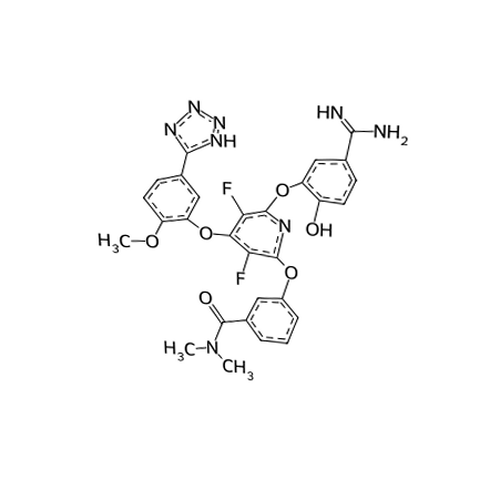 COc1ccc(-c2nnn[nH]2)cc1Oc1c(F)c(Oc2cccc(C(=O)N(C)C)c2)nc(Oc2cc(C(=N)N)ccc2O)c1F